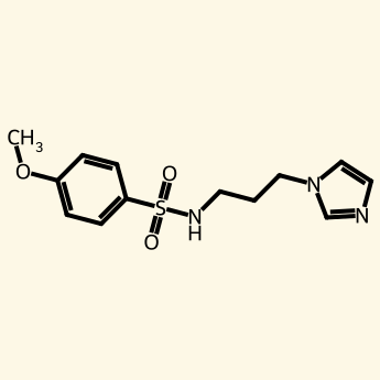 COc1ccc(S(=O)(=O)NCCCn2ccnc2)cc1